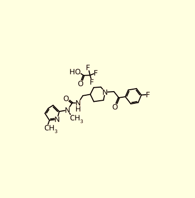 Cc1cccc(N(C)C(=O)NCC2CCN(CC(=O)c3ccc(F)cc3)CC2)n1.O=C(O)C(F)(F)F